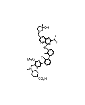 COc1nc(-c2cccc(-c3cccc(Nc4nc(C(F)F)nc5cc(CN6CC[C@](C)(O)C6)cnc45)c3C)c2Cl)cnc1CN(C)C1CCC(C(=O)O)CC1